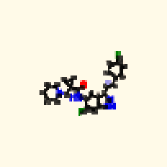 O=C(Nc1cc2c(/C=C/c3ccc(F)cc3)n[nH]c2cc1F)C1(CN2CCCCC2)CC1